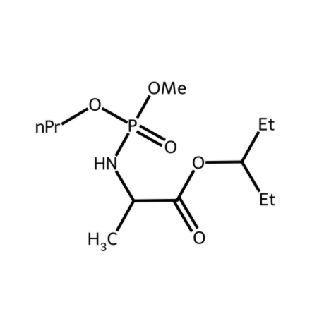 CCCOP(=O)(NC(C)C(=O)OC(CC)CC)OC